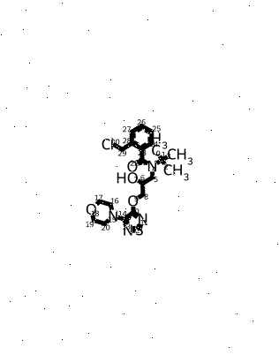 CC(C)(C)N(CC(O)COc1nsnc1N1CCOCC1)C(=O)c1ccccc1CCl